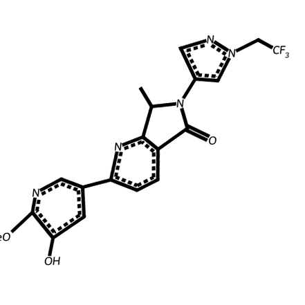 COc1ncc(-c2ccc3c(n2)C(C)N(c2cnn(CC(F)(F)F)c2)C3=O)cc1O